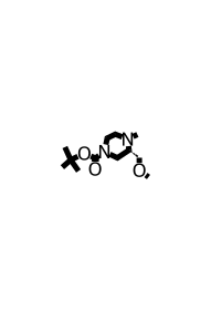 COC[C@@H]1CN(C(=O)OC(C)(C)C)CCN1C